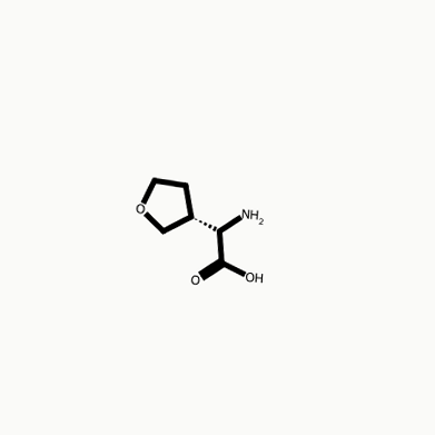 NC(C(=O)O)[C@H]1CCOC1